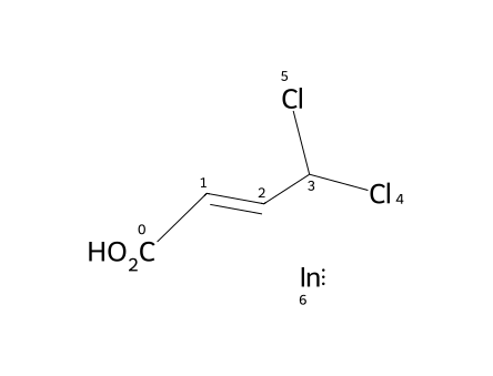 O=C(O)C=CC(Cl)Cl.[In]